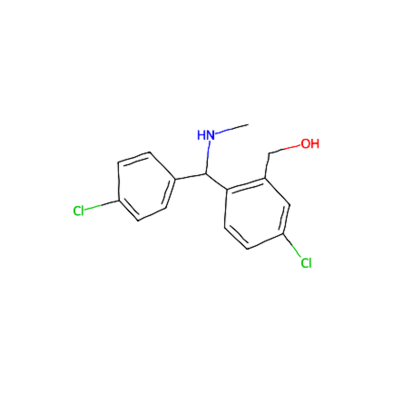 CNC(c1ccc(Cl)cc1)c1ccc(Cl)cc1CO